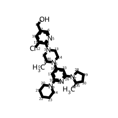 C[C@@H]1CN(c2ncc(CO)cc2Cl)CCN1c1cc(N2CCCCC2)nc(N2CCC[C@H]2C)c1